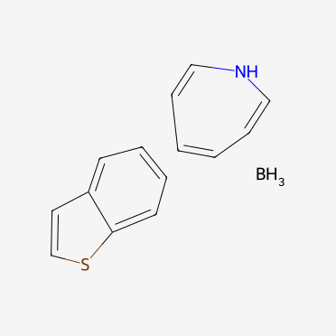 B.C1=CC=CNC=C1.c1ccc2sccc2c1